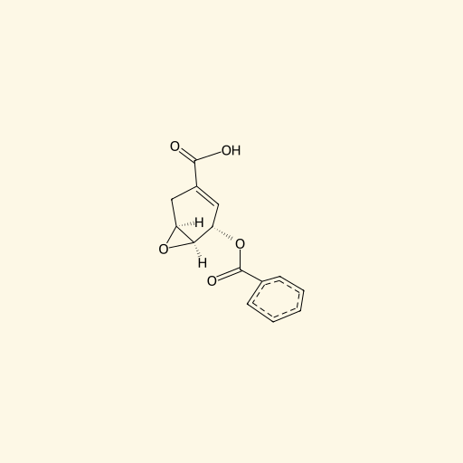 O=C(O)C1=C[C@H](OC(=O)c2ccccc2)[C@H]2O[C@H]2C1